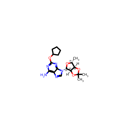 C[C@H]1O[C@@H](n2cnc3c(N)nc(OC4CCCC4)nc32)[C@@H]2OC(C)(C)O[C@@H]21